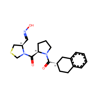 O=C([C@H]1CCCN1C(=O)[C@H]1CCc2ccccc2C1)N1CSC[C@H]1C=NO